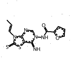 CC=Cn1c(=S)sc2c(=N)n(NC(=O)c3ccco3)cnc21